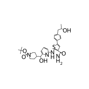 CC(O)Cc1ccc(-c2cc(C(N)=O)c(Nc3cccc(C(O)C4CCN(C(=O)OC(C)(C)C)CC4)n3)s2)cc1